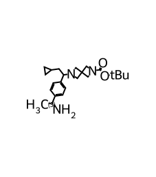 C[C@H](N)c1ccc(C(CC2CC2)N2CC3(CN(C(=O)OC(C)(C)C)C3)C2)cc1